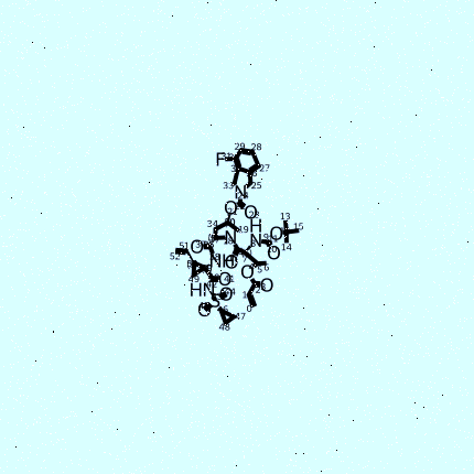 C=CC(=O)OC(C)[C@H](NC(=O)OC(C)(C)C)C(=O)N1C[C@H](OC(=O)N2Cc3cccc(F)c3C2)C[C@H]1C(=O)N[C@]1(C(=O)NS(=O)(=O)C2CC2)C[C@H]1C=C